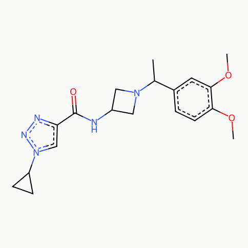 COc1ccc(C(C)N2CC(NC(=O)c3cn(C4CC4)nn3)C2)cc1OC